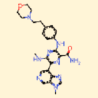 CNc1nc(Nc2ccc(CCN3CCOCC3)cc2)c(C(N)=O)nc1-c1cncc2c1ncn2C